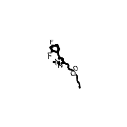 CCCCOC(=O)CCc1cc(-c2ccc(F)cc2F)n(C)n1